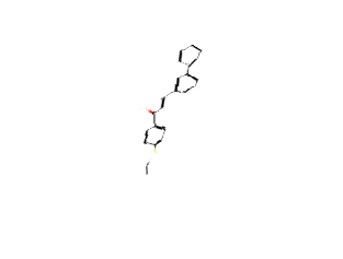 CCSc1ccc(C(=O)/C=C/c2cccc(-c3ccccc3)c2)cc1